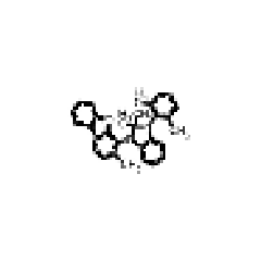 Cc1cccc(C)c1N1c2ccccc2N(c2c(C)ccc3c2oc2ccccc23)C1(C)C